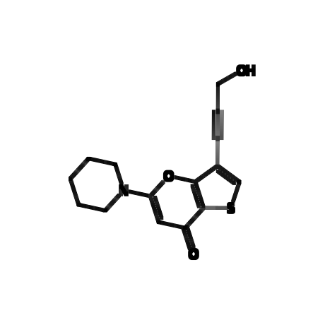 O=c1cc(N2CCCCC2)oc2c(C#CCO)csc12